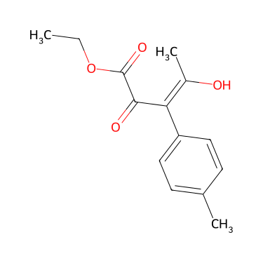 CCOC(=O)C(=O)C(=C(C)O)c1ccc(C)cc1